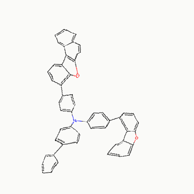 c1ccc(-c2ccc(N(c3ccc(-c4cccc5c4oc4ccc6ccccc6c45)cc3)c3ccc(-c4cccc5oc6ccccc6c45)cc3)cc2)cc1